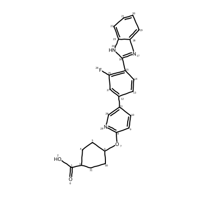 O=C(O)C1CCC(Oc2ccc(-c3ccc(-c4nc5ccccc5[nH]4)c(F)c3)cn2)CC1